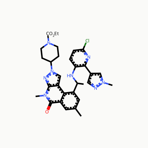 CCOC(=O)N1CCC(n2cc3c4c(C(C)Nc5ccc(Cl)nc5-c5cnn(C)c5)cc(C)cc4c(=O)n(C)c3n2)CC1